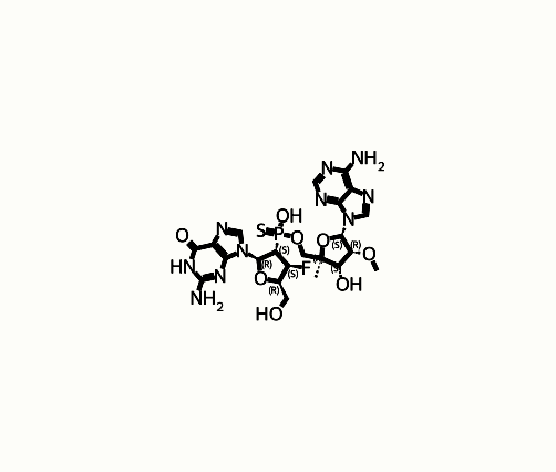 CO[C@H]1[C@@H](n2cnc3c(N)ncnc32)O[C@](C)(COP(O)(=S)[C@@H]2[C@@H](F)[C@@H](CO)O[C@H]2n2cnc3c(=O)[nH]c(N)nc32)[C@H]1O